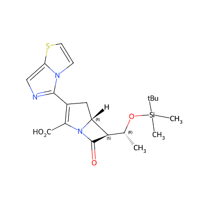 C[C@@H](O[Si](C)(C)C(C)(C)C)[C@H]1C(=O)N2C(C(=O)O)=C(c3ncc4sccn34)C[C@H]12